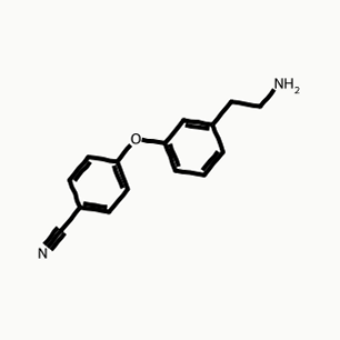 N#Cc1ccc(Oc2cccc(CCN)c2)cc1